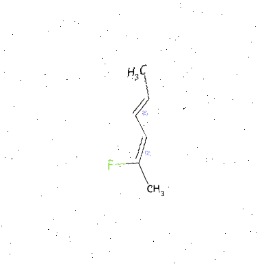 C/C=C/C=C(/C)F